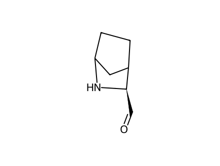 O=C[C@H]1NC2CCC1C2